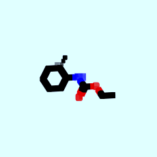 CCOC(=O)NC1CCCC[C@@H]1C